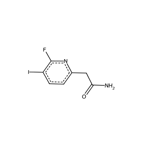 NC(=O)Cc1ccc(I)c(F)n1